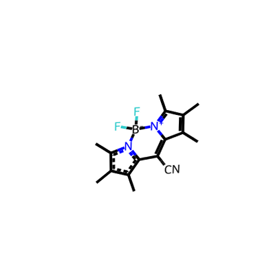 CC1=C(C)C(C)=[N+]2C1=C(C#N)c1c(C)c(C)c(C)n1[B-]2(F)F